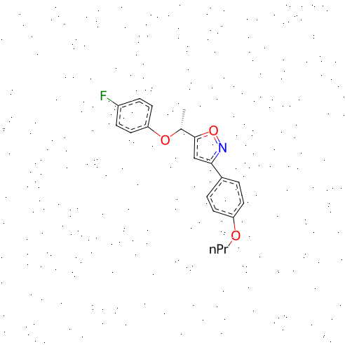 CCCOc1ccc(-c2cc([C@@H](C)Oc3ccc(F)cc3)on2)cc1